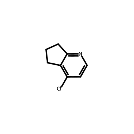 Clc1ccnc2c1CCC2